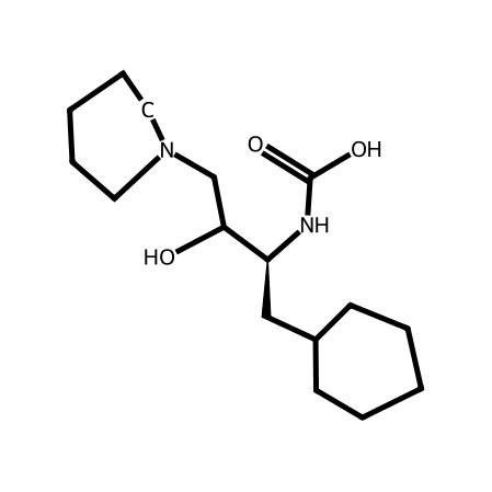 O=C(O)N[C@@H](CC1CCCCC1)C(O)CN1CCCCC1